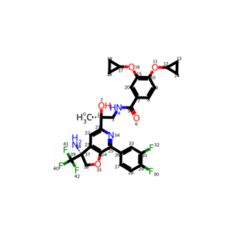 C[C@](O)(CNC(=O)c1ccc(OC2CC2)c(OC2CC2)c1)c1cc2c(c(-c3ccc(F)c(F)c3)n1)OC[C@@]2(N)C(F)(F)F